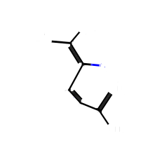 C=C(C)/C=C\C(N)=C(C)C